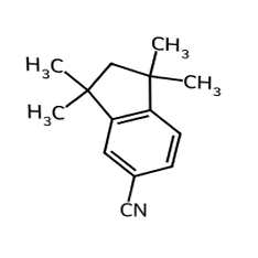 CC1(C)CC(C)(C)c2cc(C#N)ccc21